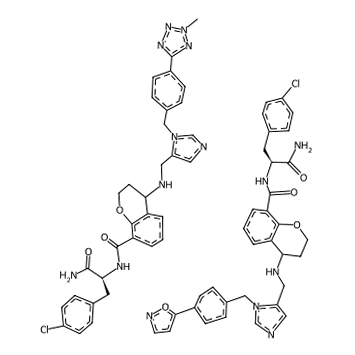 Cn1nnc(-c2ccc(Cn3cncc3CNC3CCOc4c(C(=O)N[C@@H](Cc5ccc(Cl)cc5)C(N)=O)cccc43)cc2)n1.NC(=O)[C@H](Cc1ccc(Cl)cc1)NC(=O)c1cccc2c1OCCC2NCc1cncn1Cc1ccc(-c2ccno2)cc1